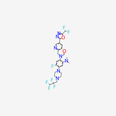 CN(C)c1cc(N2CCN(CC(F)(F)C(F)F)CC2)c(F)cc1N(C=O)Cc1ccc(-c2nnc(C(F)F)o2)cn1